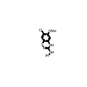 COc1cc2c(cc1Cl)SN=C(NC(C)C)N2